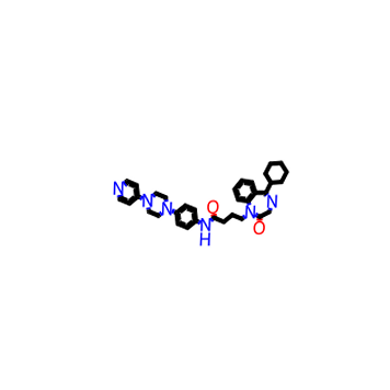 O=C(CCCN1C(=O)CN=C(C2CCCCC2)c2ccccc21)Nc1ccc(N2CCN(c3ccncc3)CC2)cc1